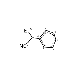 [CH2]CC(C#N)c1ccccc1